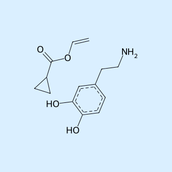 C=COC(=O)C1CC1.NCCc1ccc(O)c(O)c1